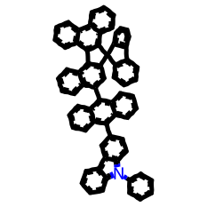 c1ccc(-n2c3ccccc3c3cc(-c4c5ccccc5c(-c5cc6c(c7ccccc57)-c5c(c7ccccc7c7ccccc57)C65c6ccccc6-c6ccccc65)c5ccccc45)ccc32)cc1